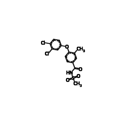 Cc1cc(C(=O)NS(C)(=O)=O)ccc1Oc1ccc(Cl)c(Cl)c1